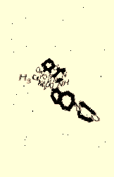 COc1ccc2c(c1Nc1ncc(Cl)c(Nc3ccccc3S(=O)(=O)N(C)C)n1)CCC(N1CCOCC1)CC2